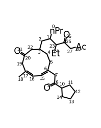 CCCC(CC1CC/C(CC(=O)C2CCCC2)=C\C=C(\C)CC(=O)C1)C(CC)C(=O)CC(C)=O